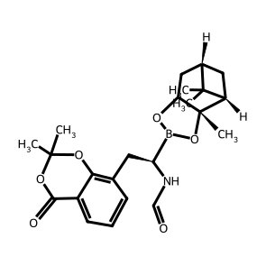 CC1(C)OC(=O)c2cccc(C[C@H](NC=O)B3OC4C[C@@H]5C[C@@H](C5(C)C)[C@]4(C)O3)c2O1